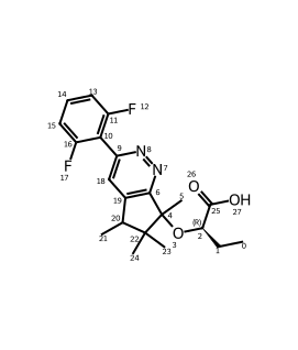 CC[C@@H](OC1(C)c2nnc(-c3c(F)cccc3F)cc2C(C)C1(C)C)C(=O)O